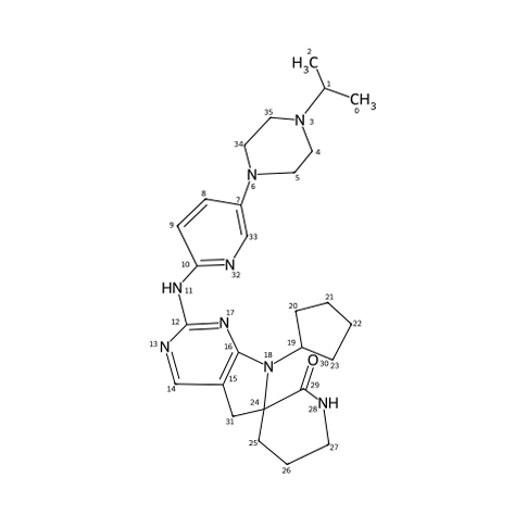 CC(C)N1CCN(c2ccc(Nc3ncc4c(n3)N(C3CCCC3)C3(CCCNC3=O)C4)nc2)CC1